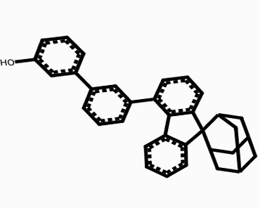 Oc1cccc(-c2cccc(-c3cccc4c3-c3ccccc3C43C4CC5CC(C4)CC3C5)c2)c1